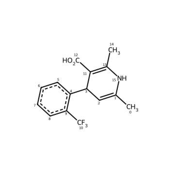 CC1=CC(c2ccccc2C(F)(F)F)C(C(=O)O)=C(C)N1